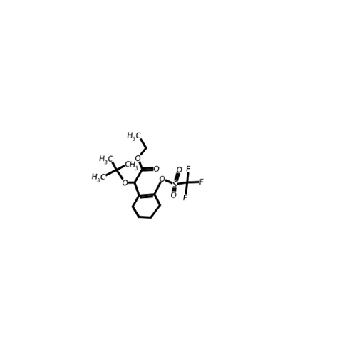 CCOC(=O)C(OC(C)(C)C)C1=C(OS(=O)(=O)C(F)(F)F)CCCC1